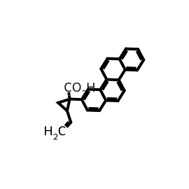 C=CC1CC1(C(=O)O)c1ccc2ccc3c4ccccc4ccc3c2c1